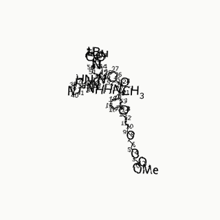 COC(=O)COCCCOCCCCCOc1cccc([C@H](C)NC(=O)c2cccc(NC3(c4nnc(-c5ccncc5)[nH]4)CCN(C(=O)OC(C)(C)C)CC3)c2)c1